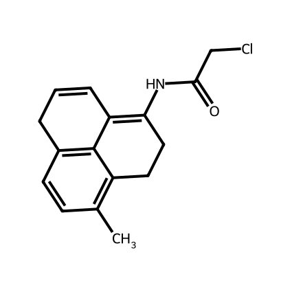 Cc1ccc2c3c1CCC(NC(=O)CCl)=C3C=CC2